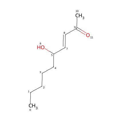 CCCCCC(O)C=CC(C)=O